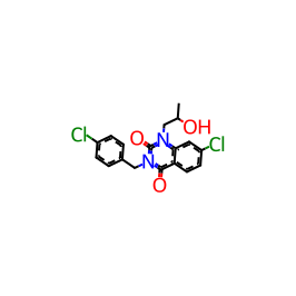 CC(O)Cn1c(=O)n(Cc2ccc(Cl)cc2)c(=O)c2ccc(Cl)cc21